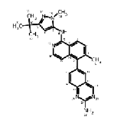 Cc1ccc2c(Nc3cc(C(C)(C)C)nn3C)nccc2c1-c1ccc2nc(N)ncc2c1